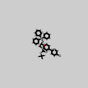 CC(C)(C)OC(=O)N1CC(N=P(c2ccccc2)(c2ccccc2)c2ccccc2)(c2ccc(-c3ccc(Cl)cn3)cc2)C1